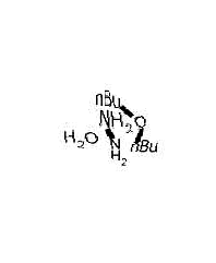 CCCCOCCCC.NN.O